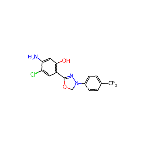 Nc1cc(O)c(C2=NN(c3ccc(C(F)(F)F)cc3)CO2)cc1Cl